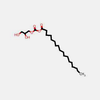 CCCCCCCCCCCCCCCCCC(=O)OC(=O)OCC(O)CO